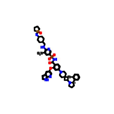 CCc1ccccc1[C@H]1CCCN1C1CC2(CCN(c3ccc(C(=O)NS(=O)(=O)c4cnc(NCC5CCC(N=S6(=O)CCCC6)CC5)c([N+](=O)[O-])c4)c(Oc4cnc5[nH]ccc5c4)c3)CC2)C1